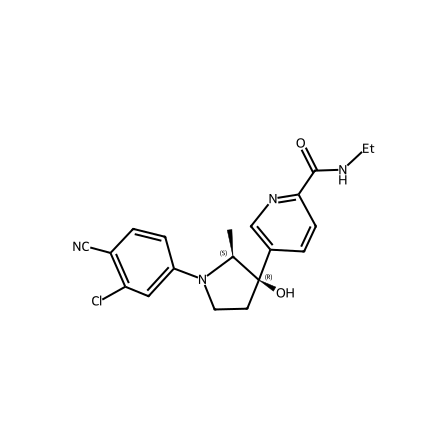 CCNC(=O)c1ccc([C@]2(O)CCN(c3ccc(C#N)c(Cl)c3)[C@H]2C)cn1